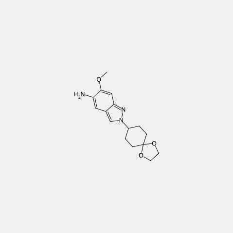 COc1cc2nn(C3CCC4(CC3)OCCO4)cc2cc1N